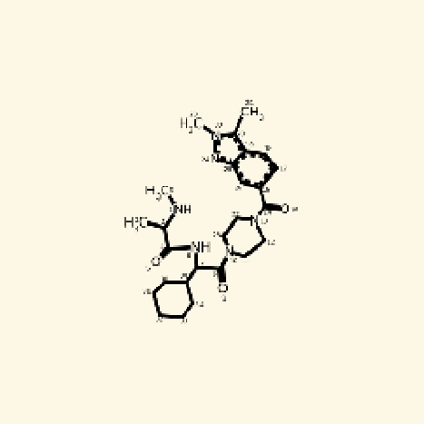 CNC(C)C(=O)NC(C(=O)N1CCN(C(=O)c2ccc3c(C)n(C)nc3c2)CC1)C1CCCCC1